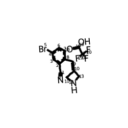 N#Cc1cc(Br)ccc1C=C1CNC1.O=C(O)C(F)(F)F